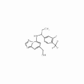 CCC(Nc1cc(CO)cc2ncnn12)c1ccc(C(F)(F)F)c(F)c1